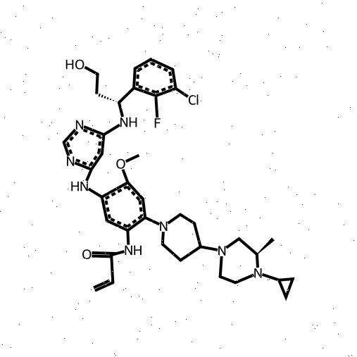 C=CC(=O)Nc1cc(Nc2cc(N[C@H](CCO)c3cccc(Cl)c3F)ncn2)c(OC)cc1N1CCC(N2CCN(C3CC3)[C@H](C)C2)CC1